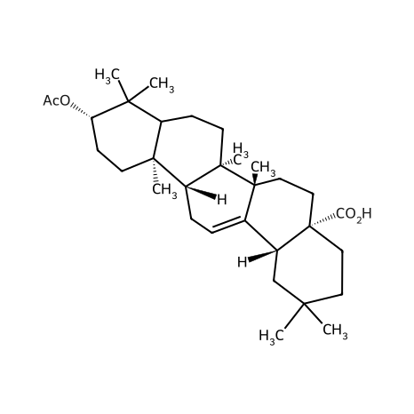 CC(=O)O[C@H]1CC[C@@]2(C)C(CC[C@]3(C)[C@@H]2CC=C2[C@H]4CC(C)(C)CC[C@]4(C(=O)O)CC[C@]23C)C1(C)C